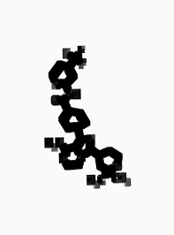 CC1(C)CC(c2nc(-c3ccc(C(=O)Nc4cc(C(F)(F)F)ccn4)cc3)c3c(N)nccn23)CCO1